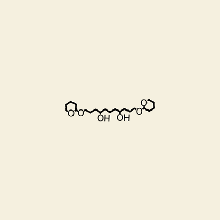 OC(CCCOC1CCCCO1)CCCC(O)CCCOC1CCCCO1